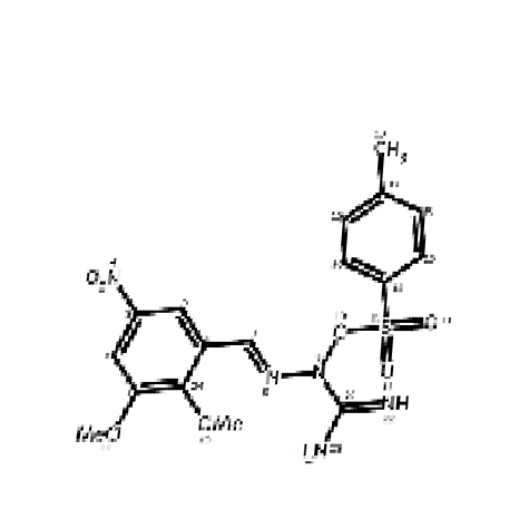 COc1cc([N+](=O)[O-])cc(C=NN(OS(=O)(=O)c2ccc(C)cc2)C(=N)N)c1OC